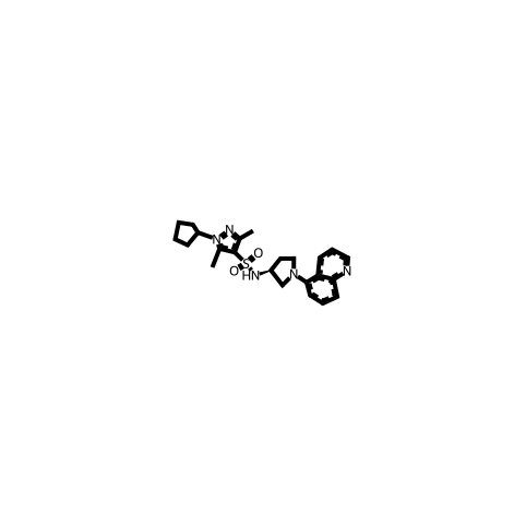 Cc1nn(C2CCCC2)c(C)c1S(=O)(=O)N[C@H]1CCN(c2cccc3ncccc23)C1